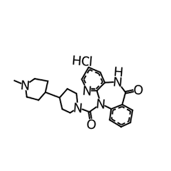 CN1CCC(C2CCN(C(=O)N3c4ccccc4C(=O)Nc4cccnc43)CC2)CC1.Cl